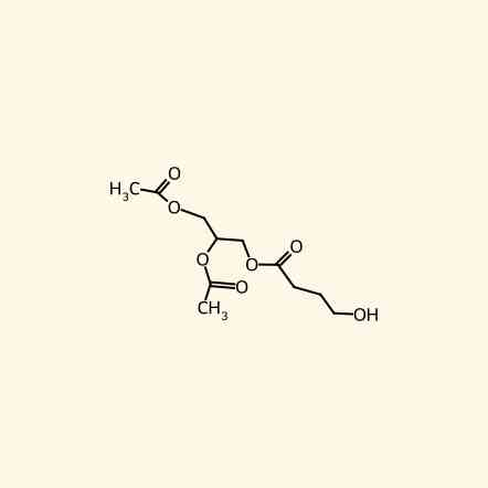 CC(=O)OCC(COC(=O)CCCO)OC(C)=O